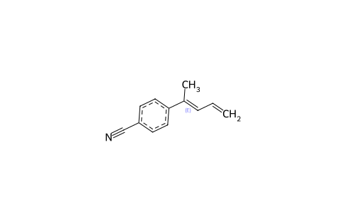 C=C/C=C(\C)c1ccc(C#N)cc1